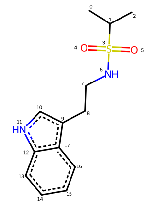 CC(C)S(=O)(=O)NCCc1c[nH]c2ccccc12